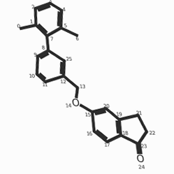 Cc1cccc(C)c1-c1cccc(COc2ccc3c(c2)CCC3=O)c1